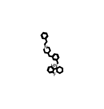 Fc1ccccc1C1(NCc2cccc(CC3CCN(CCc4ccccc4)CC3)c2)CCCCC1